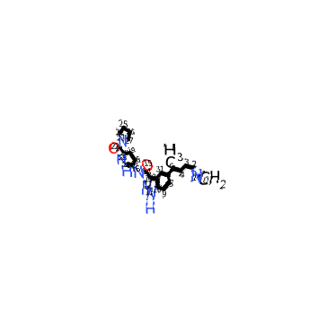 C=N/C=C\C=C(/C)c1ccc2[nH]nc(C(=O)Nc3ccc(C(=O)N4CCCC4)nc3)c2c1